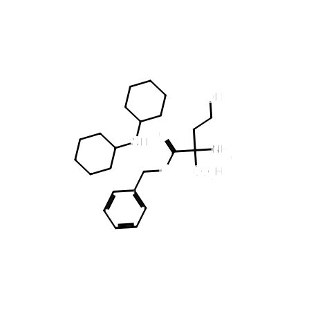 C1CCC(NC2CCCCC2)CC1.NC(CCO)(C(=O)O)C(=O)OCc1ccccc1